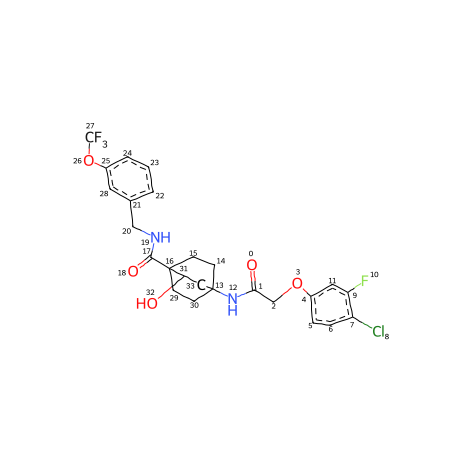 O=C(COc1ccc(Cl)c(F)c1)NC12CCC(C(=O)NCc3cccc(OC(F)(F)F)c3)(CC1)C(O)C2